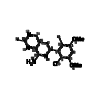 COc1cc(OC)c(Cl)c(-c2cc3cnc(C)nc3c(N)n2)c1C